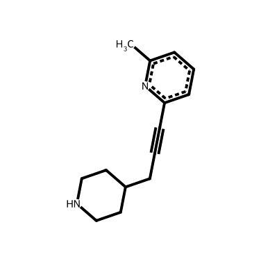 Cc1cccc(C#CCC2CCNCC2)n1